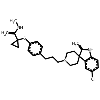 C=C(NC)C1(Sc2ccc(CCCN3CCC4(CC3)C(=C)Nc3ccc(Cl)cc34)cc2)CC1